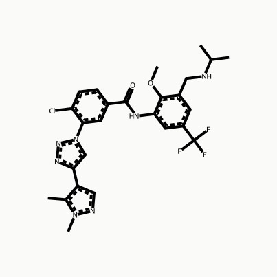 COc1c(CNC(C)C)cc(C(F)(F)F)cc1NC(=O)c1ccc(Cl)c(-n2cc(-c3cnn(C)c3C)nn2)c1